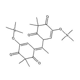 CC(=C1C=C(O[Si](C)(C)C)C(=O)C(C)(C)C1=O)C1C=C(O[Si](C)(C)C)C(=O)C(C)(C)C1=O